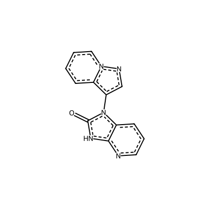 O=c1[nH]c2ncccc2n1-c1cnn2ccccc12